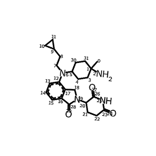 CC1(N)CCC(N(CCC2CC2)c2cccc3c2CN(C2CCC(=O)NC2=O)C3=O)CC1